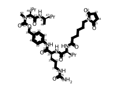 CC(C)[C@H](NC(=O)CCCCCN1C(=O)C=CC1=O)C(=O)N[C@@H](CCCNC(N)=O)C(=O)Nc1ccc(COC(=O)N(C)[C@H](C(=O)N[C@H](C)C(C)C)C(C)C)cc1